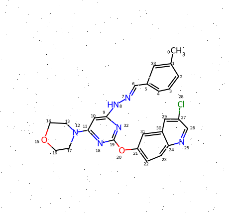 Cc1cccc(C=NNc2cc(N3CCOCC3)nc(Oc3ccc4ncc(Cl)cc4c3)n2)c1